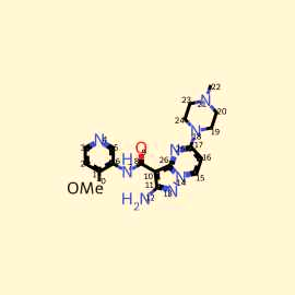 COc1ccncc1NC(=O)c1c(N)nn2ccc(N3CCN(C)CC3)nc12